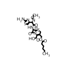 CCCCCC(=O)OCC1=C(C(=O)O)N2C(=O)C(NC(=O)/C(=N/OC)c3csc(N)n3)[C@H]2SC1